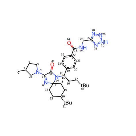 CC1CCN(C2=NC3(CCC(C(C)(C)C)CC3)N([C@H](CCC(C)(C)C)c3ccc(C(=O)NCc4nn[nH]n4)cc3)C2=O)C1